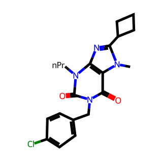 CCCn1c(=O)n(Cc2ccc(Cl)cc2)c(=O)c2c1nc(C1CCC1)n2C